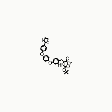 COC(=O)[C@H](Cc1ccc(Oc2ccc(Oc3ccc(-c4nccs4)cc3)cc2)cc1)NC(=O)OC(C)(C)C